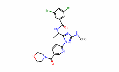 CC(NC(=O)c1cc(Br)cc(Br)c1)c1nc(NC=O)nn1-c1ccc(C(=O)N2CCOCC2)cn1